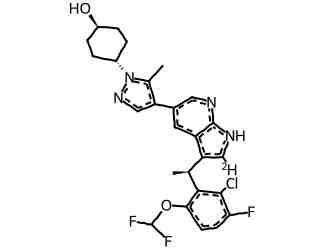 [2H]c1[nH]c2ncc(-c3cnn([C@H]4CC[C@H](O)CC4)c3C)cc2c1[C@H](C)c1c(OC(F)F)ccc(F)c1Cl